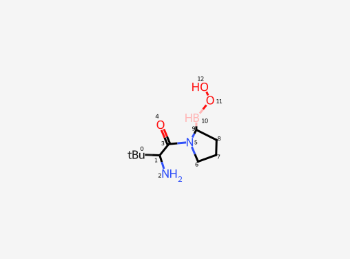 CC(C)(C)C(N)C(=O)N1CCCC1BOO